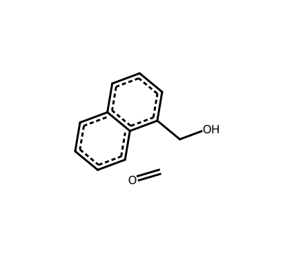 C=O.OCc1cccc2ccccc12